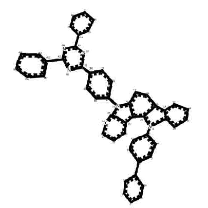 c1ccc(-c2ccc(-n3c4ccccc4c4ccc5c(c6ccccc6n5-c5ccc(-c6nc(-c7ccccc7)nc(-c7ccccc7)n6)cc5)c43)cc2)cc1